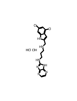 Cl.Cl.Clc1cc(Cl)c2cc(CNCCCNc3nc4nccnc4[nH]3)[nH]c2c1